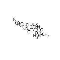 CN(C)C(=O)C(=O)c1nsc2nc(Cl)c(C(=O)N3CCC(O)(Cc4ccc(F)cc4)CC3)nc12